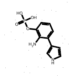 Nc1c(OP(=O)(O)O)cccc1-c1cc[nH]c1